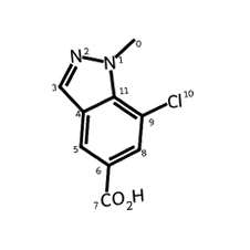 Cn1ncc2cc(C(=O)O)cc(Cl)c21